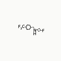 FC1CC(NCc2ccc(C(F)(F)F)cc2)C1